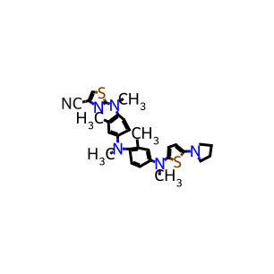 Cc1cc(N(C)c2ccc(N3CCCC3)s2)ccc1N(C)c1ccc(N(C)c2nc(C#N)cs2)c(C)c1